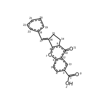 O=C(O)c1ccc2oc3c(c(=O)c2c1)CCC3=Cc1ccccc1